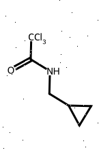 O=C(NCC1CC1)C(Cl)(Cl)Cl